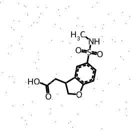 CNS(=O)(=O)c1ccc2c(c1)C(CC(=O)O)CO2